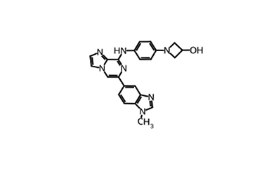 Cn1cnc2cc(-c3cn4ccnc4c(Nc4ccc(N5CC(O)C5)cc4)n3)ccc21